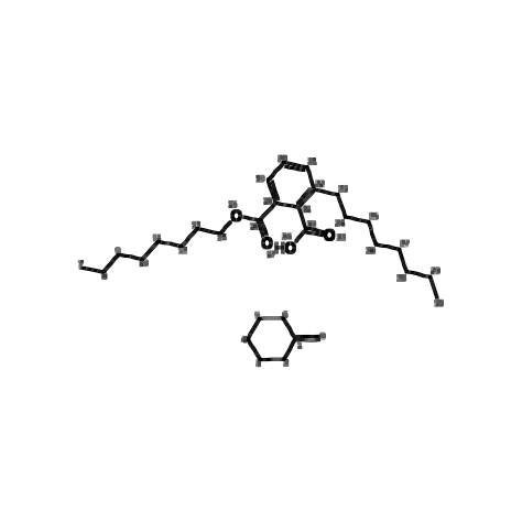 C=C1CCCCC1.CCCCCCCCOC(=O)c1cccc(CCCCCCCC)c1C(=O)O